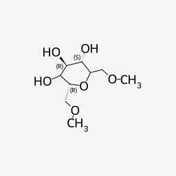 COCC1O[C@H](COC)C(O)[C@@H](O)[C@@H]1O